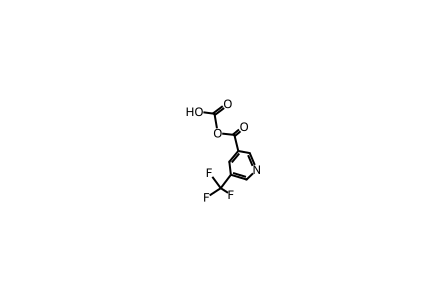 O=C(O)OC(=O)c1cncc(C(F)(F)F)c1